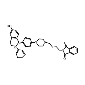 O=C1c2ccccc2C(=O)N1CCCCN1CCN(c2ccc([C@@H]3c4ccc(O)cc4CC[C@@H]3c3ccccc3)cc2)CC1